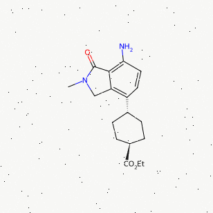 CCOC(=O)[C@H]1CC[C@H](c2ccc(N)c3c2CN(C)C3=O)CC1